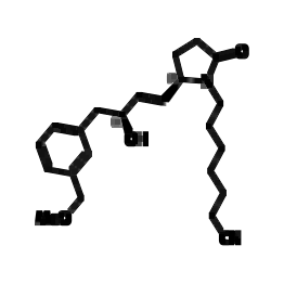 COCc1cccc(C[C@H](O)C=C[C@H]2CCC(=O)N2CCCCCCC#N)c1